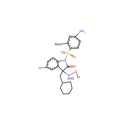 CCON(C=O)C1(CC2CCCCC2)C(=O)N(S(=O)(=O)c2ccc(N)cc2OC)c2ccc(Cl)cc21